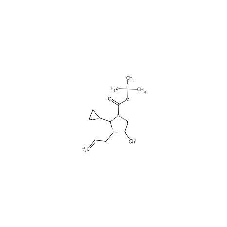 C=CCC1C(O)CN(C(=O)OC(C)(C)C)C1C1CC1